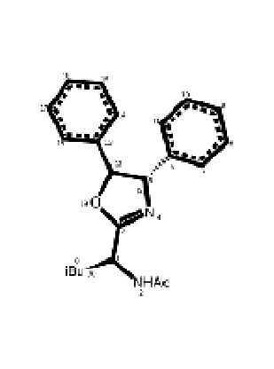 CC[C@H](C)C(NC(C)=O)C1=N[C@@H](c2ccccc2)C(c2ccccc2)O1